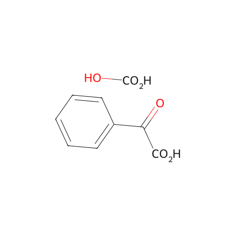 O=C(O)C(=O)c1ccccc1.O=C(O)O